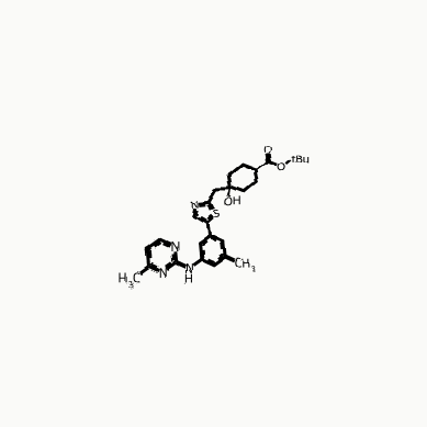 Cc1cc(Nc2nccc(C)n2)cc(-c2cnc(C[C@]3(O)CC[C@@H](C(=O)OC(C)(C)C)CC3)s2)c1